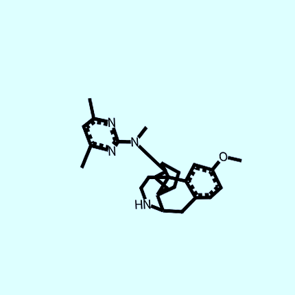 COc1ccc2c(c1)C13CCNC(C2)C12CCC(N(C)c1nc(C)cc(C)n1)C3CC2